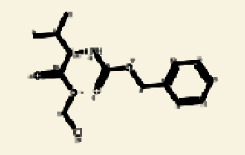 CC(C)[C@H](NC(=O)OCc1ccccc1)C(=O)OCCl